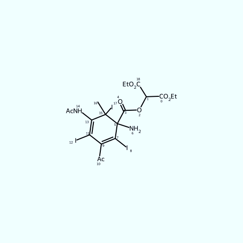 CCOC(=O)C(OC(=O)C1(N)C(I)=C(C(C)=O)C(I)=C(NC(C)=O)C1(C)I)C(=O)OCC